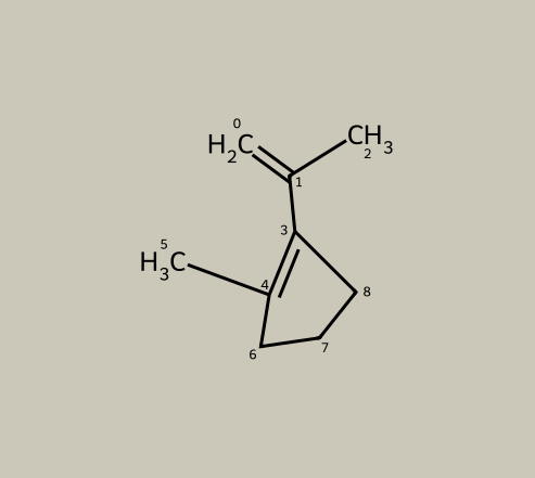 C=C(C)C1=C(C)CCC1